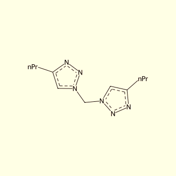 CCCc1cn(Cn2cc(CCC)nn2)nn1